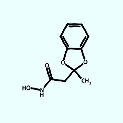 CC1(CC(=O)NO)Oc2ccccc2O1